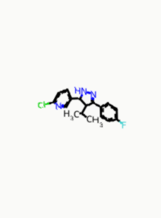 CC(C)C1C(c2ccc(F)cc2)=NNC1c1ccc(Cl)nc1